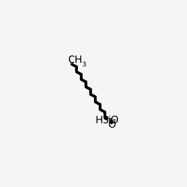 CCCCCCCCCCCCCCCC[SiH]1OO1